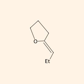 CCC=C1CCCO1